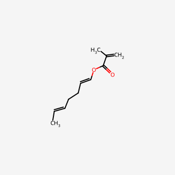 C=C(C)C(=O)OC=CCCC=CC